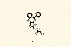 CC(C)CC(=O)N[C@@H](C)C(=O)NC1N=C(c2ccccn2)c2ccccc2N(C)C1=O